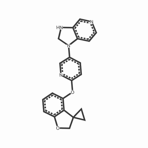 c1cc2c(c(Oc3ccc(N4CNc5cnccc54)cn3)c1)C1(CC1)CO2